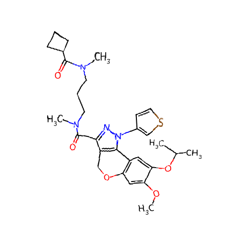 COc1cc2c(cc1OC(C)C)-c1c(c(C(=O)N(C)CCCN(C)C(=O)C3CCC3)nn1-c1ccsc1)CO2